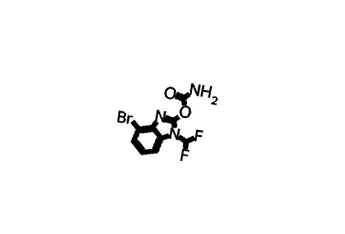 NC(=O)Oc1nc2c(Br)cccc2n1C(F)F